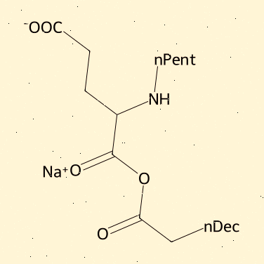 CCCCCCCCCCCC(=O)OC(=O)C(CCC(=O)[O-])NCCCCC.[Na+]